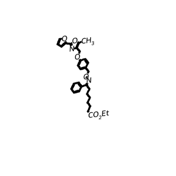 CCOC(=O)CCCCCCC(=NOCc1ccc(OCc2nc(-c3ccco3)oc2C)cc1)c1ccccc1